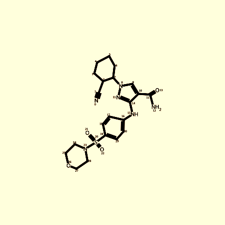 N#CC1CCCCC1n1cc(C(N)=O)c(Nc2ccc(S(=O)(=O)N3CCOCC3)cc2)n1